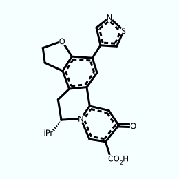 CC(C)[C@@H]1Cc2c(cc(-c3cnsc3)c3c2CCO3)-c2cc(=O)c(C(=O)O)cn21